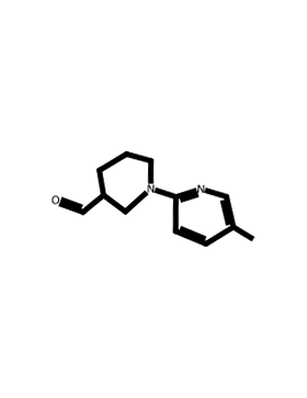 Cc1ccc(N2CCCC(C=O)C2)nc1